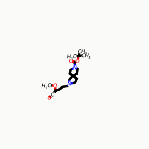 COC(=C=O)/C=C/CN1CCC2(CCN(C(=O)OC(C)(C)C)CC2)C1